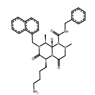 C[C@H]1[C@H]2N(C(=O)CN(C)N2C(=O)NCc2ccccc2)[C@@H](CCCCN)C(=O)N1Cc1cccc2ccccc12